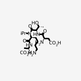 CC(C)N(C(=O)[C@@H](NC(=O)[C@@H](N)CC(=O)O)[C@@H](C)O)[C@@H](CCCCN)C(=O)N[C@@H](C)C(=O)O